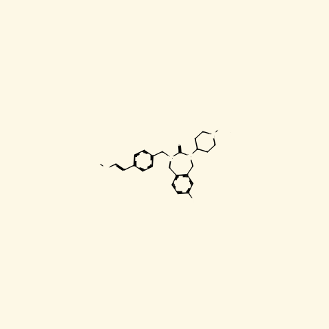 CCO/C=C/c1ccc(CN2Cc3ccc(F)cc3CN(C3CCN(C(=O)O)CC3)C2=O)cc1